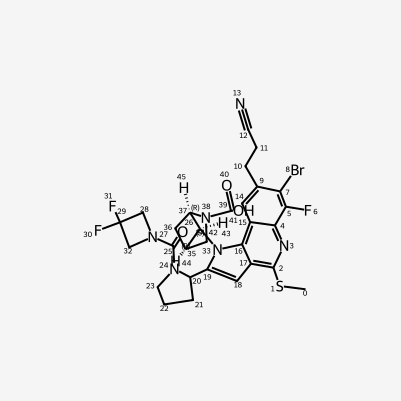 CSc1nc2c(F)c(Br)c(CCC#N)cc2c2c1cc(C1CCCN1C(=O)N1CC(F)(F)C1)n2[C@H]1[C@@H]2C[C@H]1N(C(=O)O)C2